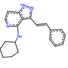 C(=Cc1n[nH]c2ccnc(NC3CCCCC3)c12)c1ccccc1